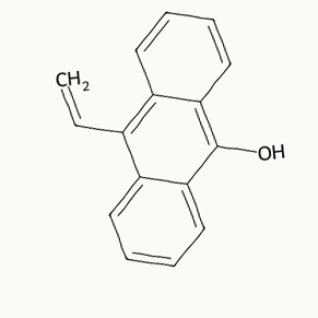 C=Cc1c2ccccc2c(O)c2ccccc12